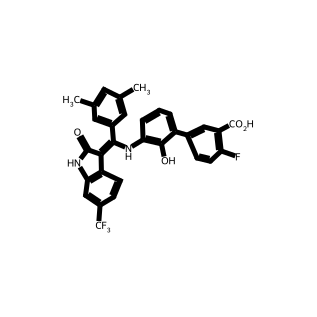 Cc1cc(C)cc(C(Nc2cccc(-c3ccc(F)c(C(=O)O)c3)c2O)=C2C(=O)Nc3cc(C(F)(F)F)ccc32)c1